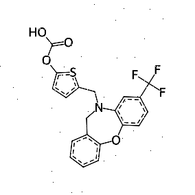 O=C(O)Oc1ccc(CN2Cc3ccccc3Oc3ccc(C(F)(F)F)cc32)s1